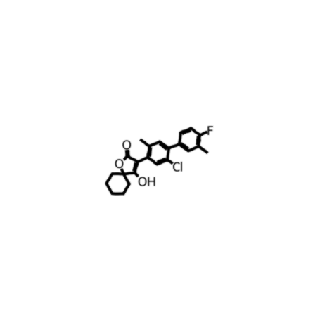 Cc1cc(-c2cc(C)c(C3=C(O)C4(CCCCC4)OC3=O)cc2Cl)ccc1F